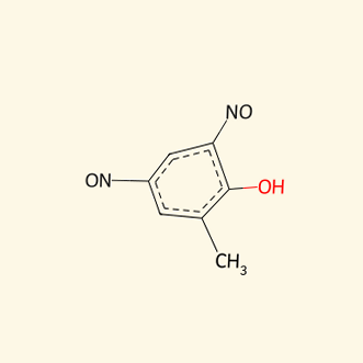 Cc1cc(N=O)cc(N=O)c1O